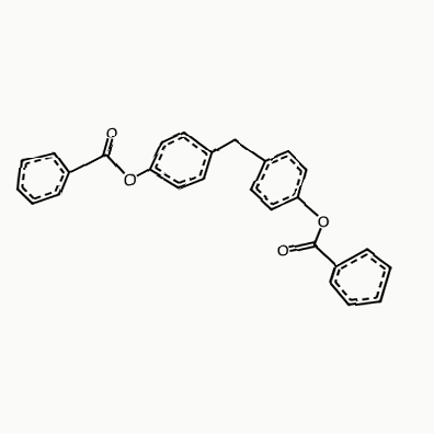 O=C(Oc1ccc(Cc2ccc(OC(=O)c3ccccc3)cc2)cc1)c1ccccc1